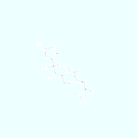 Cn1cc(C(C)(C)C(O)c2ccc(NC(=O)OC(C)(C)C)cn2)cn1